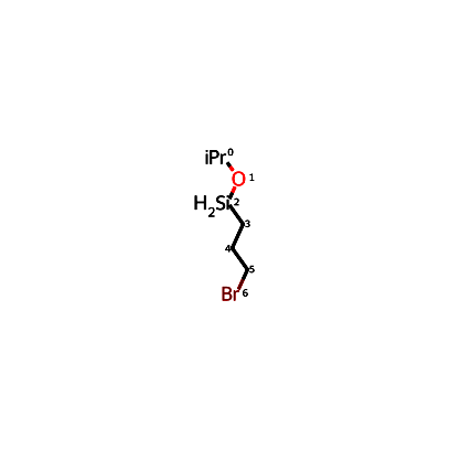 CC(C)O[SiH2]CCCBr